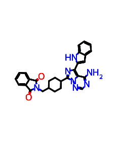 Nc1ncnn2c(C3CCC(CN4C(=O)c5ccccc5C4=O)CC3)nc(-c3cc4ccccc4[nH]3)c12